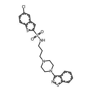 O=S(=O)(NCCCN1CCN(c2nsc3ccccc23)CC1)c1cc2cc(Cl)ccc2s1